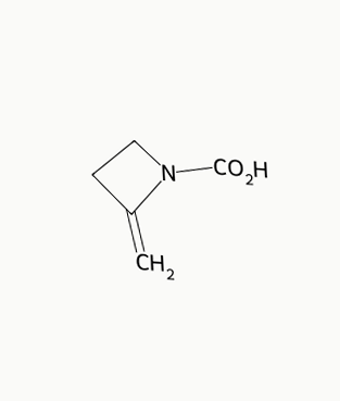 C=C1CCN1C(=O)O